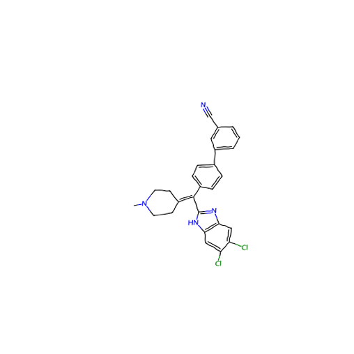 CN1CCC(=C(c2ccc(-c3cccc(C#N)c3)cc2)c2nc3cc(Cl)c(Cl)cc3[nH]2)CC1